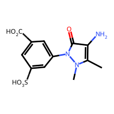 Cc1c(N)c(=O)n(-c2cc(C(=O)O)cc(S(=O)(=O)O)c2)n1C